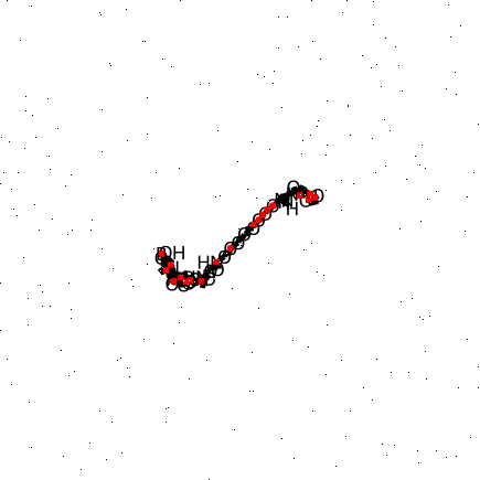 CCc1c2c(nc3ccc(OB(C)O)cc13)-c1cc3c(c(=O)n1C2)COC(=O)C3(CC)OC(=O)OCC(NC(=O)COCC(=O)NCCOCCOCCOCCOCCOCCOCCOCCOCCn1cc(CNC(=O)C2CCC(CN3C(=O)C=CC3=O)CC2)nn1)C(C)C